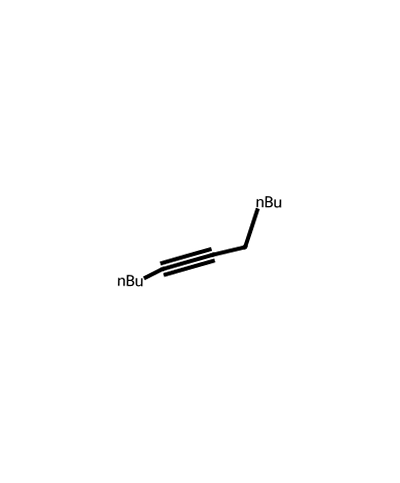 C[C]CCCC#CCCCC